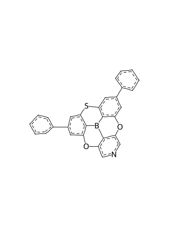 c1ccc(-c2cc3c4c(c2)Sc2cc(-c5ccccc5)cc5c2B4c2c(cncc2O5)O3)cc1